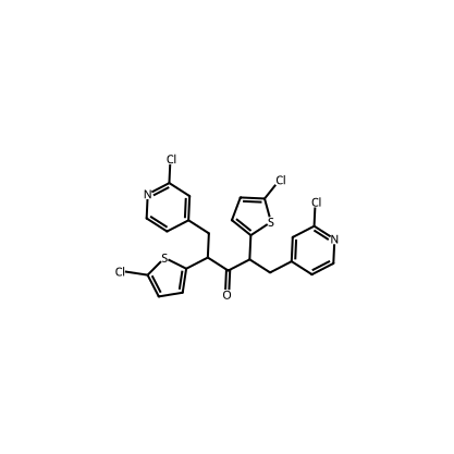 O=C(C(Cc1ccnc(Cl)c1)c1ccc(Cl)s1)C(Cc1ccnc(Cl)c1)c1ccc(Cl)s1